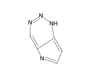 c1cc2[nH]nncc-2n1